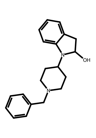 OC1Cc2ccccc2N1C1CCN(Cc2ccccc2)CC1